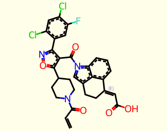 C=CC(=O)N1CCC(c2onc(-c3cc(F)c(Cl)cc3Cl)c2C(=O)n2cc3c4c(cccc42)/C(=C/C(=O)O)CC3)CC1